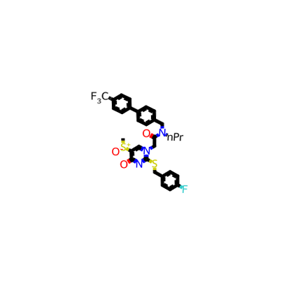 CCCN(Cc1ccc(-c2ccc(C(F)(F)F)cc2)cc1)C(=O)Cn1cc([S+](C)[O-])c(=O)nc1SCc1ccc(F)cc1